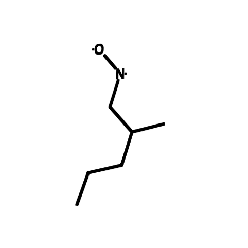 CCCC(C)C[N][O]